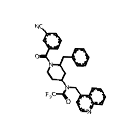 N#Cc1cccc(C(=O)N2CCC(N(Cc3ccnc4ccccc34)C(=O)C(F)(F)F)CC2Cc2ccccc2)c1